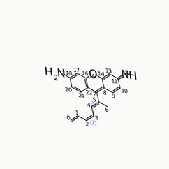 C=C/C=C\C=C(/C)c1c2ccc(=N)cc-2oc2cc(N)ccc12